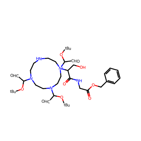 CC(C)(C)OC(C=O)N1CCNCC[N+](C(C=O)OC(C)(C)C)(C(CO)C(=O)NCC(=O)OCc2ccccc2)CCN(C(C=O)OC(C)(C)C)CC1